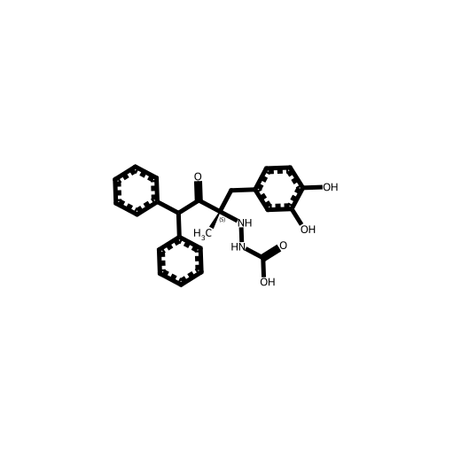 C[C@@](Cc1ccc(O)c(O)c1)(NNC(=O)O)C(=O)C(c1ccccc1)c1ccccc1